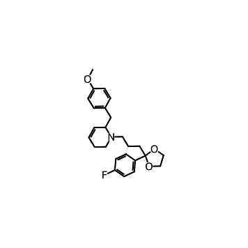 COc1ccc(CC2C=CCCN2CCCC2(c3ccc(F)cc3)OCCO2)cc1